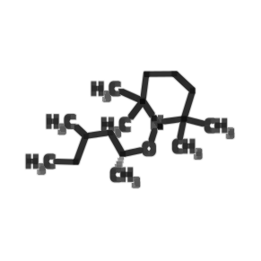 CCC(C)C[C@@H](C)ON1C(C)(C)CCCC1(C)C